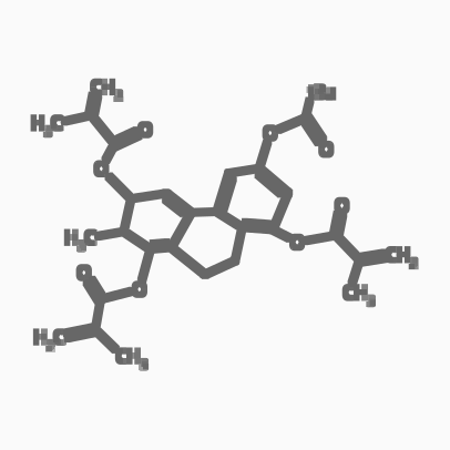 C=C(C)C(=O)OC1=C2CCc3c(OC(=O)C(=C)C)cc(OC(=O)C(C)(C)C)cc3C2=CC(OC(=O)C(=C)C)C1C